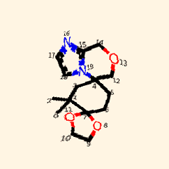 CC1(C)CC2(CCC13OCCO3)COCc1nccn12